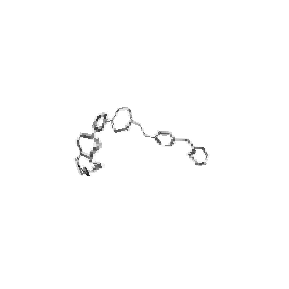 c1ccc(Cc2ccc(CCC3CCC(Oc4ccc5cnccc5c4)CC3)cc2)cc1